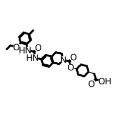 CCOc1ccc(C)cc1NC(=O)Nc1ccc2c(c1)CCN(C(=O)O[C@H]1CC[C@H](CC(=O)O)CC1)C2